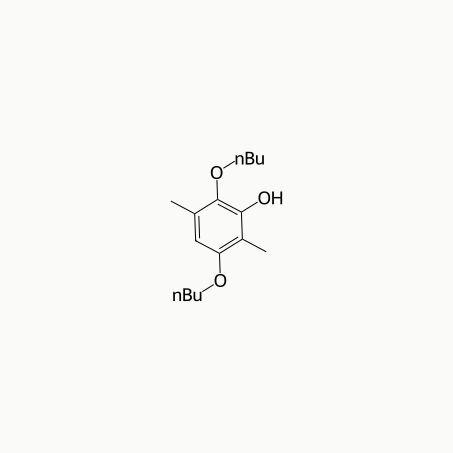 CCCCOc1cc(C)c(OCCCC)c(O)c1C